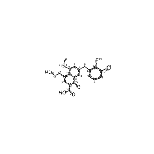 CNc1cc(Cc2cccc(Cl)c2F)cc2c(=O)c(C(=O)O)cn(CCO)c12